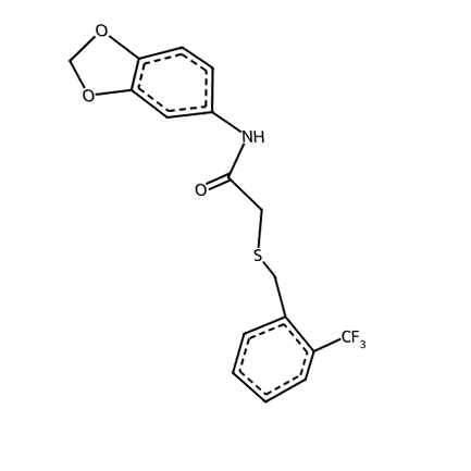 O=C(CSCc1ccccc1C(F)(F)F)Nc1ccc2c(c1)OCO2